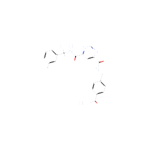 [2H]C([2H])(NC(=O)c1cc(C(=O)NCc2ccc(C(C)=O)cc2)ncn1)c1cccc(C)c1